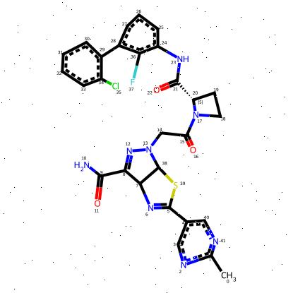 Cc1ncc(C2=NC3C(C(N)=O)=NN(CC(=O)N4CC[C@H]4C(=O)Nc4cccc(-c5ccccc5Cl)c4F)C3S2)cn1